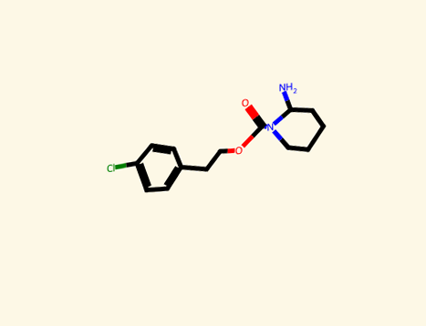 NC1CCCCN1C(=O)OCCc1ccc(Cl)cc1